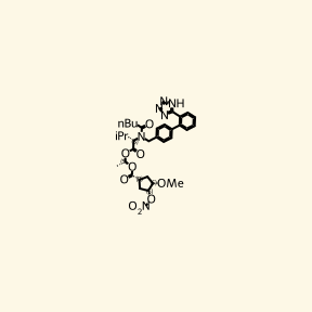 CCCCC(=O)N(Cc1ccc(-c2ccccc2-c2nnn[nH]2)cc1)[C@H](C(=O)O[C@@H](C)OC(=O)[C@@H]1C[C@H](OC)[C@@H](O[N+](=O)[O-])C1)C(C)C